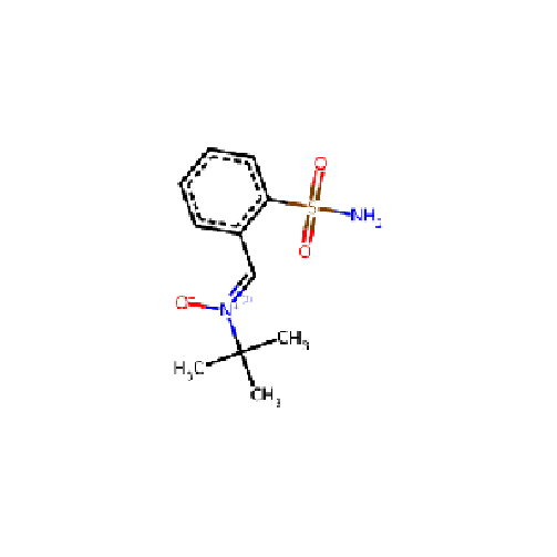 CC(C)(C)/[N+]([O-])=C/c1ccccc1S(N)(=O)=O